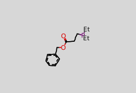 CCP(CC)CCC(=O)OCc1ccccc1